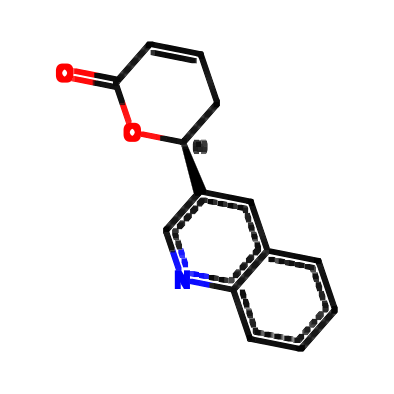 O=C1C=CC[C@@H](c2cnc3ccccc3c2)O1